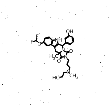 CN(CCO)CCCN1C(=O)N2C(c3cccc(O)c3)c3[nH]c4ccc(OC(F)F)cc4c3CC2(C)C1=O